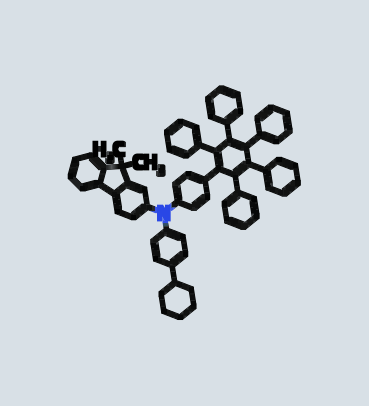 CC1(C)c2ccccc2-c2ccc(N(c3ccc(-c4c(-c5ccccc5)c(-c5ccccc5)c(-c5ccccc5)c(-c5ccccc5)c4-c4ccccc4)cc3)c3ccc(C4CCCCC4)cc3)cc21